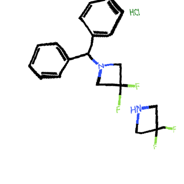 Cl.FC1(F)CN(C(c2ccccc2)c2ccccc2)C1.FC1(F)CNC1